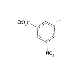 CCOC(=O)c1cccc([N+](=O)[O-])c1.F